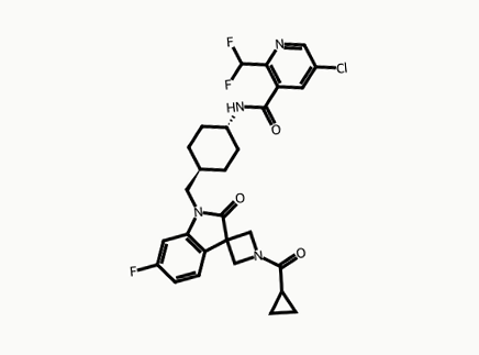 O=C(N[C@H]1CC[C@H](CN2C(=O)C3(CN(C(=O)C4CC4)C3)c3ccc(F)cc32)CC1)c1cc(Cl)cnc1C(F)F